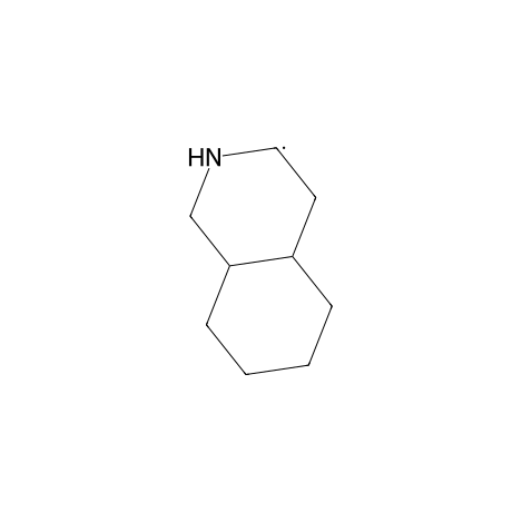 [CH]1CC2CCCCC2CN1